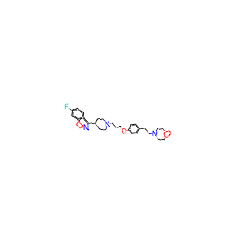 Fc1ccc2c(C3CCN(CCCOc4ccc(CCN5CCOCC5)cc4)CC3)noc2c1